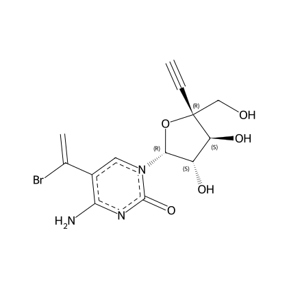 C#C[C@]1(CO)O[C@@H](n2cc(C(=C)Br)c(N)nc2=O)[C@@H](O)[C@@H]1O